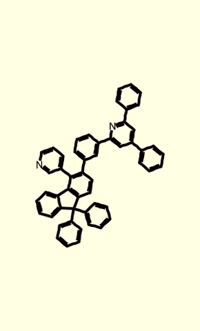 c1ccc(-c2cc(-c3ccccc3)nc(-c3cccc(-c4ccc5c(c4-c4cccnc4)-c4ccccc4C5(c4ccccc4)c4ccccc4)c3)c2)cc1